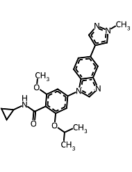 COc1cc(-n2cnc3cc(-c4cnn(C)c4)ccc32)cc(OC(C)C)c1C(=O)NC1CC1